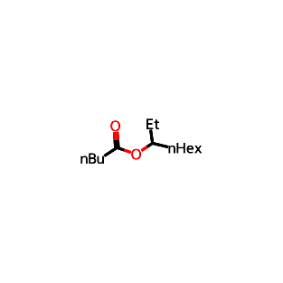 CCCCCCC(CC)OC(=O)CCCC